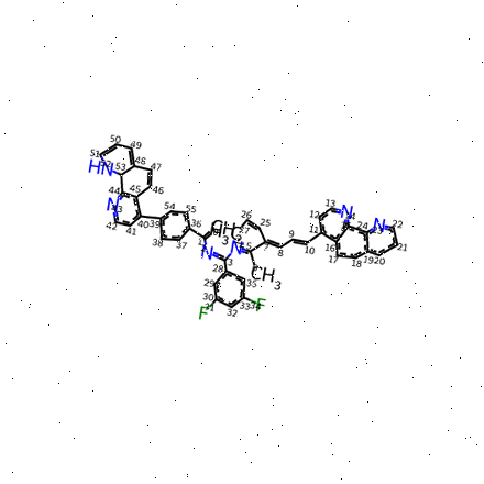 C=C(/N=C(\N=C(/C)C(=C/C=C/c1ccnc2c1ccc1cccnc12)/C=C\C)c1cc(F)cc(F)c1)c1ccc(-c2ccnc3c2C=CC2=CC=CNC23)cc1